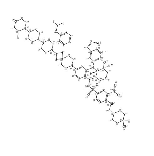 CC(C)Oc1ccccc1[C@H]1CN(C2CCC(N3CCOC[C@H]3C)CC2)CCN1C1CC2(CCN(c3ccc(C(=O)NS(=O)(=O)c4ccc(NC[C@H]5CC[C@](C)(O)CC5)c([N+](=O)[O-])c4)c(N4c5cc6cc[nH]c6nc5O[C@H]5COCC[C@@H]54)c3)CC2)C1